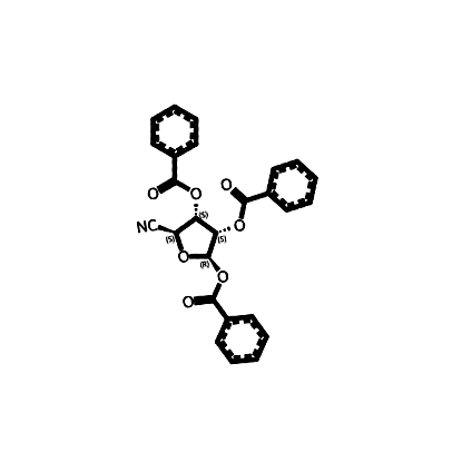 N#C[C@@H]1O[C@H](OC(=O)c2ccccc2)[C@@H](OC(=O)c2ccccc2)[C@H]1OC(=O)c1ccccc1